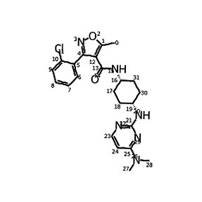 Cc1onc(-c2ccccc2Cl)c1C(=O)N[C@H]1CC[C@@H](Nc2nccc(N(C)C)n2)CC1